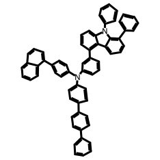 c1ccc(-c2ccc(-c3ccc(N(c4ccc(-c5cccc6ccccc56)cc4)c4cccc(-c5cccc6c5c5cccc(-c7ccccc7)c5n6-c5ccccc5)c4)cc3)cc2)cc1